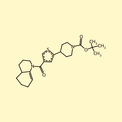 CC(C)(C)OC(=O)N1CCC(c2cc(C(=O)N3CCCC4CCCC=C43)cs2)CC1